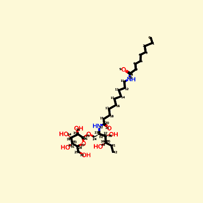 CCCCCCCCC(=O)NCCCCCCCCCC(=O)N[C@@H](CO[C@H]1OC(CO)[C@H](O)[C@H](O)C1O)[C@H](O)[C@H](O)CC